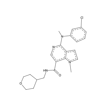 CN(c1cccc(Cl)c1)c1ncc(C(=O)NCC2CCOCC2)c2c1ccn2C